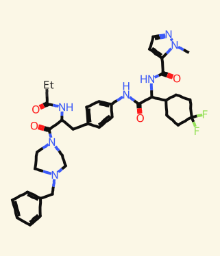 CCC(=O)NC(Cc1ccc(NC(=O)C(NC(=O)c2ccnn2C)C2CCC(F)(F)CC2)cc1)C(=O)N1CCN(Cc2ccccc2)CC1